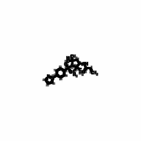 C=CC(=O)NC1CC(C)(C)N(S(=O)(=O)c2ccc(-n3cccn3)cc2)C1(C)C